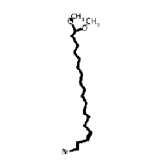 COC(CCCCCCCCCCCCC/C=C\CCBr)OC